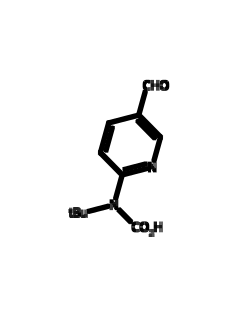 CC(C)(C)N(C(=O)O)c1ccc(C=O)cn1